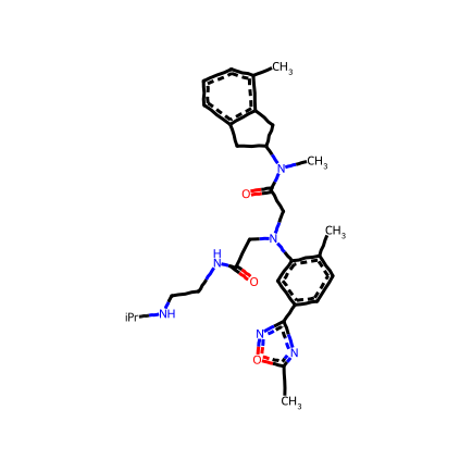 Cc1nc(-c2ccc(C)c(N(CC(=O)NCCNC(C)C)CC(=O)N(C)C3Cc4cccc(C)c4C3)c2)no1